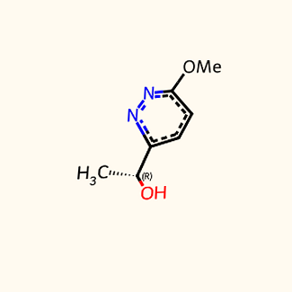 COc1ccc([C@@H](C)O)nn1